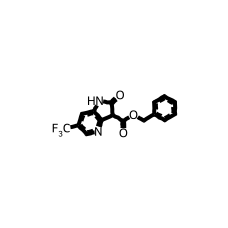 O=C1Nc2cc(C(F)(F)F)cnc2C1C(=O)OCc1ccccc1